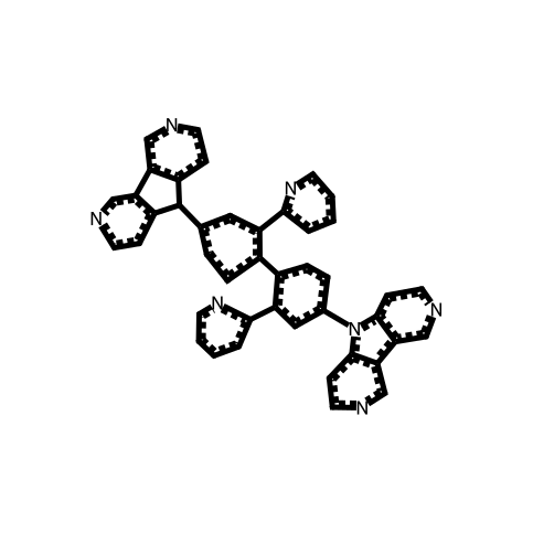 c1ccc(-c2cc(C3c4ccncc4-c4cnccc43)ccc2-c2ccc(-n3c4ccncc4c4cnccc43)cc2-c2ccccn2)nc1